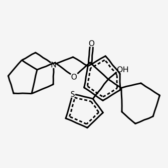 O=C(OCC1C2CCC1CN(Cc1ccccc1)C2)C(O)(c1cccs1)C1CCCCC1